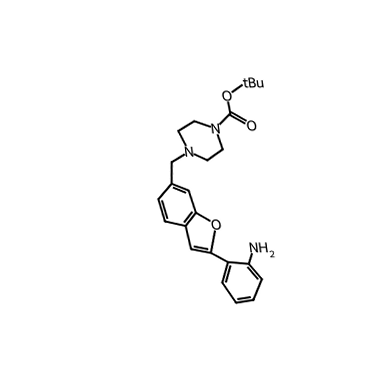 CC(C)(C)OC(=O)N1CCN(Cc2ccc3cc(-c4ccccc4N)oc3c2)CC1